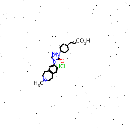 CN1CCc2ccc(-n3cnn([C@H]4CC[C@H](CCC(=O)O)CC4)c3=O)cc2CC1.Cl